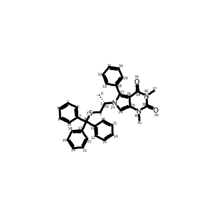 [CH2][C@@H](CSC(c1ccccc1)(c1ccccc1)c1ccccc1)n1cc2c(c1-c1ccccc1)c(=O)n(C)c(=O)n2C